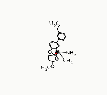 CCCc1cccc(-c2ccc3c(c2)C2(N=C(N)N(C)C2=O)C2(CCC(OC)CC2)O3)c1